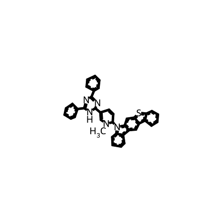 CN1C=C(C2N=C(c3ccccc3)N=C(c3ccccc3)N2)C=CC1n1c2ccccc2c2cc3c(cc21)sc1ccccc13